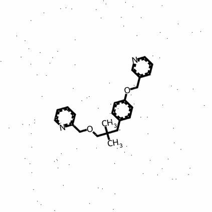 CC(C)([CH]c1ccc(OCc2cccnc2)cc1)COCc1ccccn1